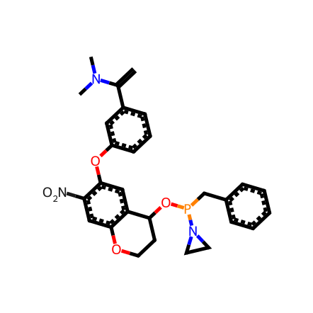 C=C(c1cccc(Oc2cc3c(cc2[N+](=O)[O-])OCCC3OP(Cc2ccccc2)N2CC2)c1)N(C)C